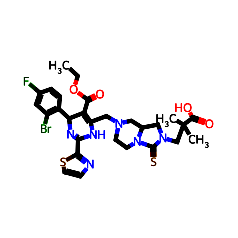 CCOC(=O)C1=C(CN2CCN3C(=S)N(CC(C)(C)C(=O)O)CC3C2)NC(c2nccs2)=NC1c1ccc(F)cc1Br